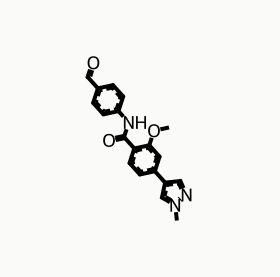 COc1cc(-c2cnn(C)c2)ccc1C(=O)Nc1ccc(C=O)cc1